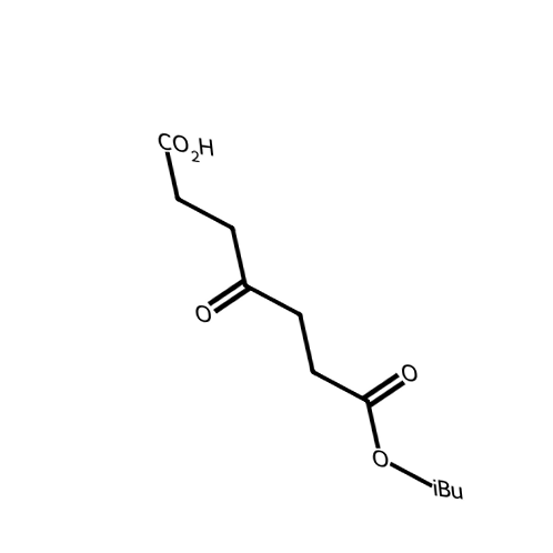 CCC(C)OC(=O)CCC(=O)CCC(=O)O